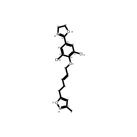 Cc1cc(CCC=CCOc2c(Cl)cc(C3=NCCO3)cc2Cl)on1